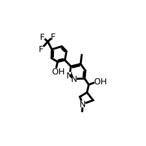 Cc1cc(C(O)C2CN(C)C2)nnc1-c1ccc(C(F)(F)F)cc1O